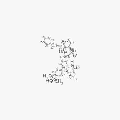 C[C@@H]1CC(=O)Nc2cc(C[C@@H]3CC(=O)Nc4cccc(C#CCc5ccccc5)c4N3)cc(-c3ccc(C(C)(C)O)cc3)c2N1